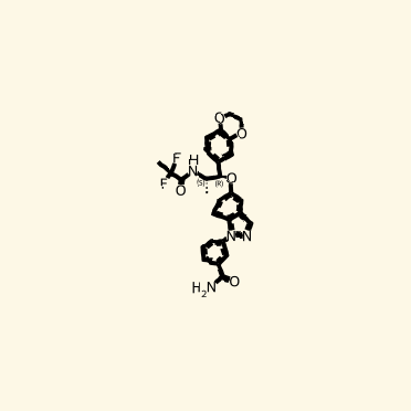 C[C@H](NC(=O)C(C)(F)F)[C@H](Oc1ccc2c(cnn2-c2cccc(C(N)=O)c2)c1)c1ccc2c(c1)OCCO2